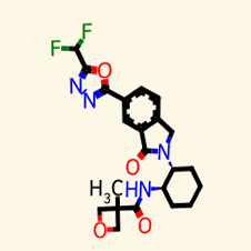 CC1(C(=O)N[C@@H]2CCCC[C@H]2N2Cc3ccc(-c4nnc(C(F)F)o4)cc3C2=O)COC1